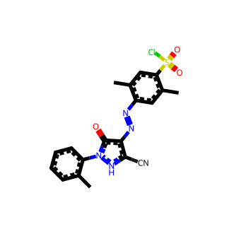 Cc1cc(S(=O)(=O)Cl)c(C)cc1N=Nc1c(C#N)[nH]n(-c2ccccc2C)c1=O